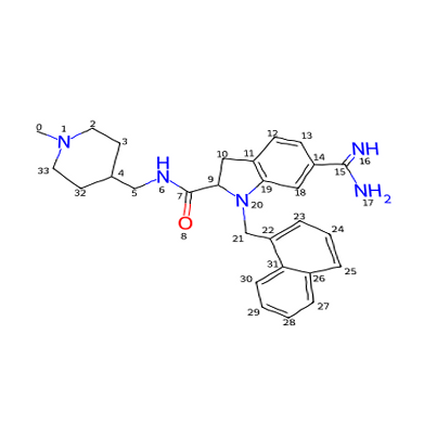 CN1CCC(CNC(=O)C2Cc3ccc(C(=N)N)cc3N2Cc2cccc3ccccc23)CC1